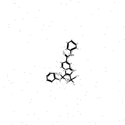 CC(C)(Oc1ccccc1)c1c(C(F)(F)F)nc2cc(C(=O)Nc3ccccc3)ccn12